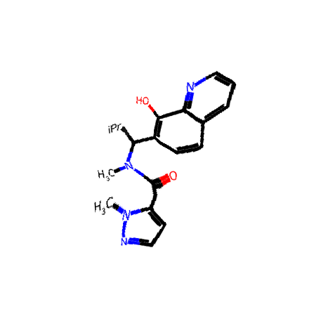 CC(C)C(c1ccc2cccnc2c1O)N(C)C(=O)c1ccnn1C